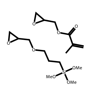 C=C(C)C(=O)OCC1CO1.CO[Si](CCCOCC1CO1)(OC)OC